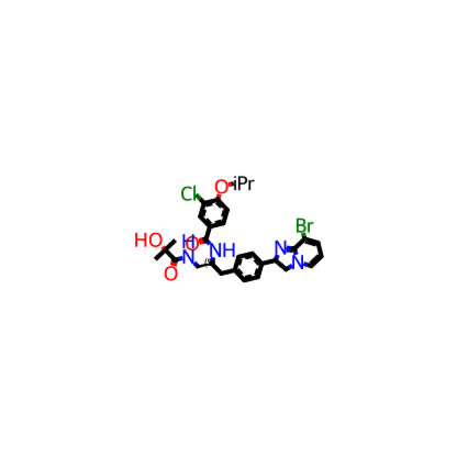 CC(C)Oc1ccc(C(=O)N[C@H](CNC(=O)C(C)(C)O)Cc2ccc(C3CN4C=CC=C(Br)C4=N3)cc2)cc1Cl